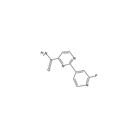 NC(=O)c1ccnc(-c2ccnc(F)c2)n1